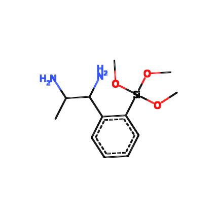 CO[Si](OC)(OC)c1ccccc1C(N)C(C)N